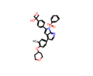 N#Cc1cc(-c2ccnc3c2cc(-c2ccc(C4(O)COC4)cc2)n3S(=O)(=O)c2ccccc2)ccc1OC1CCOCC1